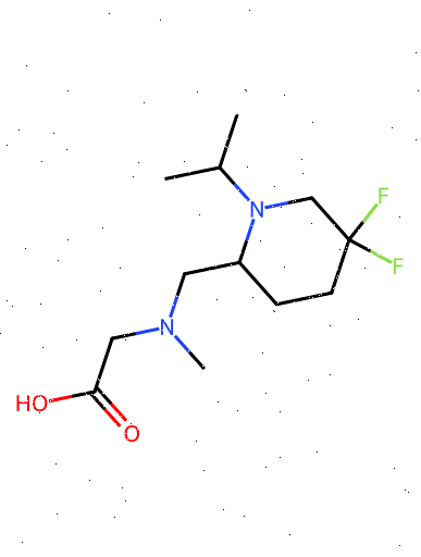 CC(C)N1CC(F)(F)CCC1CN(C)CC(=O)O